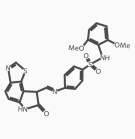 COc1cccc(OC)c1NS(=O)(=O)c1ccc(N=CC2C(=O)Nc3ccc4ncsc4c32)cc1